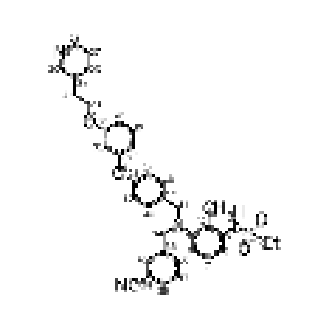 CCS(=O)(=O)Nc1cccc(N(Cc2ccc(Oc3cccc(OCCc4cccnc4)c3)cc2)Cc2cccc(C#N)c2)c1C